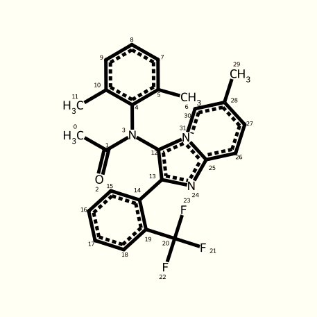 CC(=O)N(c1c(C)cccc1C)c1c(-c2ccccc2C(F)(F)F)nc2ccc(C)cn12